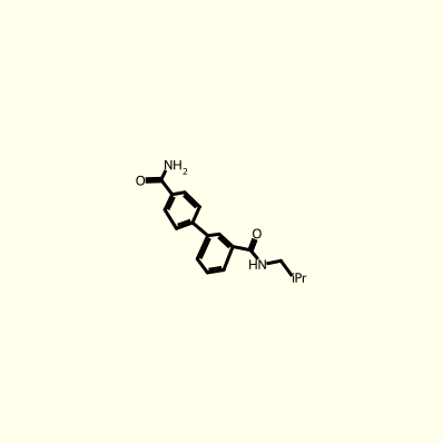 CC(C)CNC(=O)c1cccc(-c2ccc(C(N)=O)cc2)c1